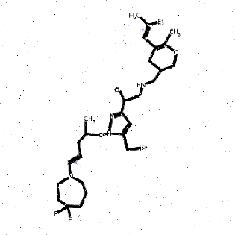 CC/C(C)=C\C1=C(C)OCC(CNCC(Cl)c2cc(CC(C)C)n(CC(C)C/C=C/N3CCCC(F)(F)CC3)n2)C1